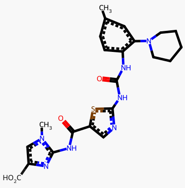 Cc1ccc(NC(=O)Nc2ncc(C(=O)Nc3nc(C(=O)O)cn3C)s2)c(N2CCCCC2)c1